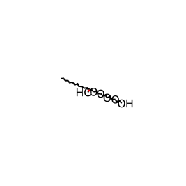 CCCCCCCCCCCCC(O)COCCOCCOCCOCCO